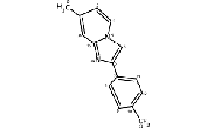 Cc1ccn2cc(-c3ccc(C(F)(F)F)cc3)nc2c1